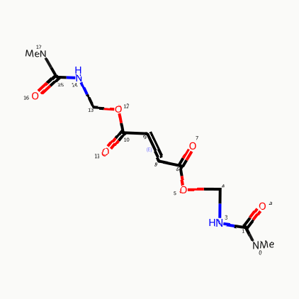 CNC(=O)NCOC(=O)/C=C/C(=O)OCNC(=O)NC